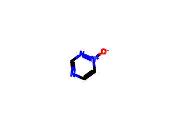 [O-][n+]1ccncn1